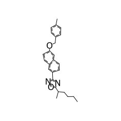 CCCCC(C)c1nc(-c2ccc3cc(OCc4ccc(C)cc4)ccc3c2)no1